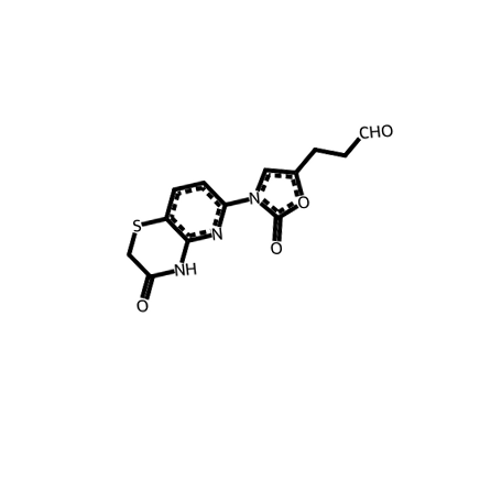 O=CCCc1cn(-c2ccc3c(n2)NC(=O)CS3)c(=O)o1